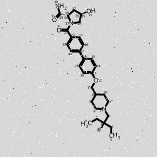 CCC(F)(CC)CN1CCC(COc2ccc(-c3ccc(C(=O)N4C[C@H](O)C[C@H]4C(N)=O)cc3)cc2)CC1